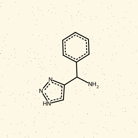 NC(c1ccccc1)c1c[nH]nn1